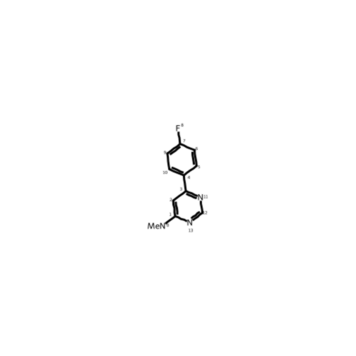 CNc1cc(-c2ccc(F)cc2)ncn1